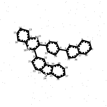 c1ccc2cc(-c3ccc(-c4nc5ccccc5nc4-c4ccc5sc6ccccc6c5c4)cc3)ccc2c1